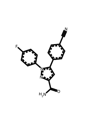 N#Cc1ccc(-c2cc(C(N)=O)nn2-c2ccc(F)cc2)cc1